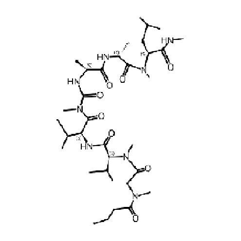 CCCC(=O)N(C)CC(=O)N(C)[C@H](C(=O)N[C@H](C(=O)N(C)C(=O)N[C@@H](C)C(=O)N[C@H](C)C(=O)N(C)[C@@H](CC(C)C)C(=O)NC)C(C)C)C(C)C